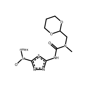 CCCCCC[S+]([O-])c1nnc(NC(=O)N(C)CC2OCCCO2)s1